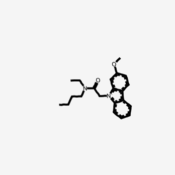 CCCCN(CC)C(=O)Cn1c2ccccc2c2ccc(OC)cc21